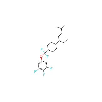 CCC(CCC(C)C)C1CCC(C(F)(F)Oc2cc(F)c(F)c(F)c2)CC1